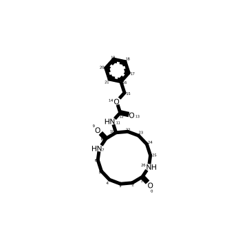 O=C1CCCCCNC(=O)C(NC(=O)OCc2ccccc2)CCCCN1